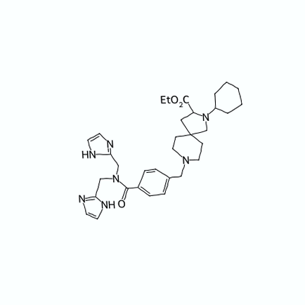 CCOC(=O)C1CC2(CCN(Cc3ccc(C(=O)N(Cc4ncc[nH]4)Cc4ncc[nH]4)cc3)CC2)CN1C1CCCCC1